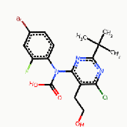 CC(C)(C)c1nc(Cl)c(CCO)c(N(C(=O)O)c2ccc(Br)cc2F)n1